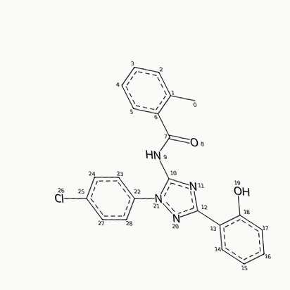 Cc1ccccc1C(=O)Nc1nc(-c2ccccc2O)nn1-c1ccc(Cl)cc1